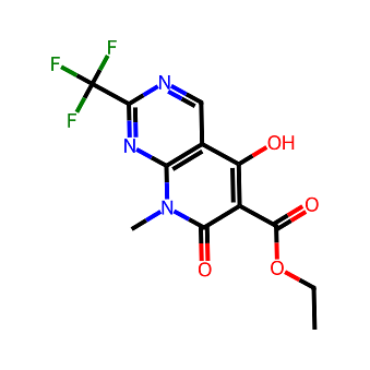 CCOC(=O)c1c(O)c2cnc(C(F)(F)F)nc2n(C)c1=O